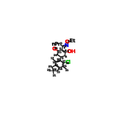 CCC/C(=N\OCC)C1=C(O)CC(c2c(C)c3c(c(C)c2Cl)CC(C)(C)C3)CC1=O